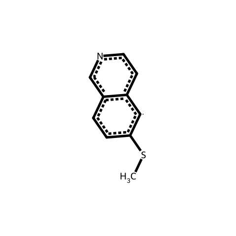 CSc1[c]c2ccncc2cc1